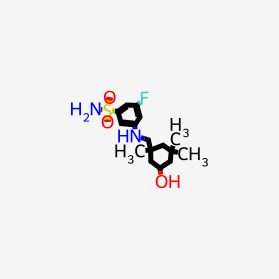 CC1(C)CC(O)CC(C)(CNc2cc(F)cc(S(N)(=O)=O)c2)C1